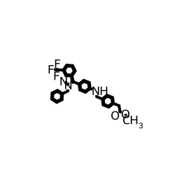 COC(=O)Cc1ccc(CNc2ccc(-c3c4cccc(C(F)(F)F)c4nn3Cc3ccccc3)cc2)cc1